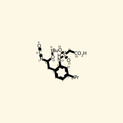 CC(C)c1ccc(CC(N=C=O)OC(C)(C)C)c(NS(=O)(=O)CC(=O)O)c1